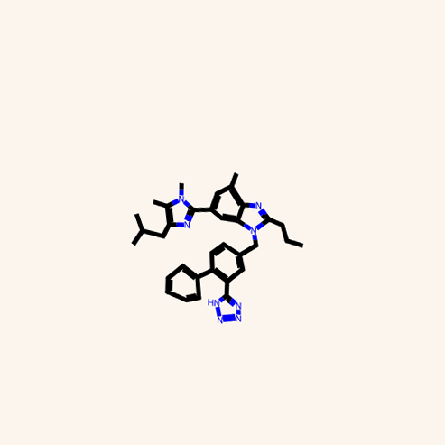 CCCc1nc2c(C)cc(-c3nc(CC(C)C)c(C)n3C)cc2n1Cc1ccc(-c2ccccc2)c(-c2nnn[nH]2)c1